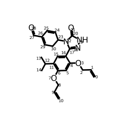 C=CCOc1cc(OCC=C)c(C(C)C)cc1-c1n[nH]c(=O)n1C1C=CC(C=O)=CC1